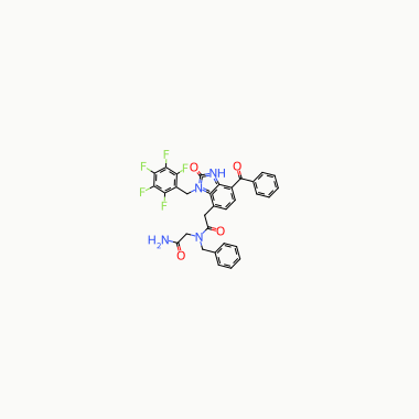 NC(=O)CN(Cc1ccccc1)C(=O)Cc1ccc(C(=O)c2ccccc2)c2[nH]c(=O)n(Cc3c(F)c(F)c(F)c(F)c3F)c12